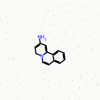 NC1=CCN2C=Cc3ccccc3C2=C1